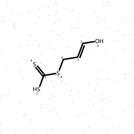 OC=CCSC(=S)S